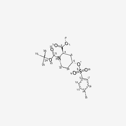 COC(=O)[C@H]1C[C@H](OS(=O)(=O)c2ccc(C)cc2)CCN1C(=O)OC(C)(C)C